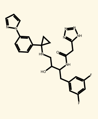 O=C(Cc1nnn[nH]1)NC(Cc1cc(F)cc(F)c1)C(O)CNC1(c2cccc(-n3cccn3)c2)CC1